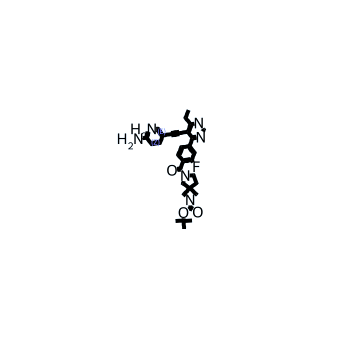 C=C(N)/C=C\C(C#Cc1c(CC)ncnc1-c1ccc(C(=O)N2CCC3(CN(C(=O)OC(C)(C)C)C3)C2)c(F)c1)=C/N